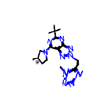 C[C@@H]1CCN(c2nc(C(C)(C)C)nc3nn(Cc4nnnn4C)nc23)C1